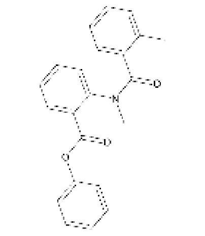 Cc1ccccc1C(=O)N(C)c1ccccc1C(=O)Oc1ccccc1